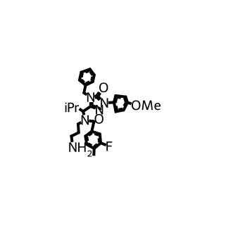 COc1ccc(-n2nc(C(C(C)C)N(CCCN)C(=O)c3ccc(C)c(F)c3)n(Cc3ccccc3)c2=O)cc1